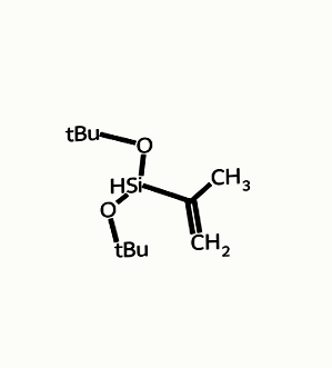 C=C(C)[SiH](OC(C)(C)C)OC(C)(C)C